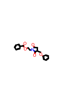 O=C(OCCN1C(=O)CC(COc2ccccc2)C1=O)c1ccccc1